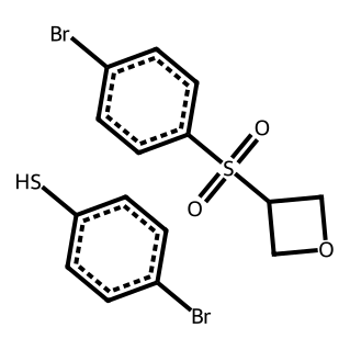 O=S(=O)(c1ccc(Br)cc1)C1COC1.Sc1ccc(Br)cc1